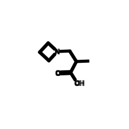 CC(CN1CCC1)C(=O)O